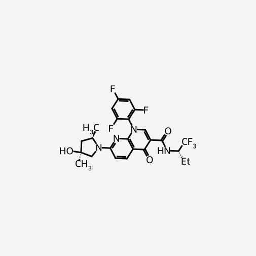 CC[C@H](NC(=O)c1cn(-c2c(F)cc(F)cc2F)c2nc(N3C[C@@](C)(O)C[C@H]3C)ccc2c1=O)C(F)(F)F